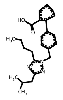 CCCCc1nc(CC(C)C)nn1Cc1ccc(-c2ccccc2C(=O)O)cc1